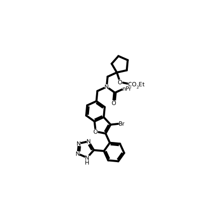 CCCC(=O)N(Cc1ccc2oc(-c3ccccc3-c3nnn[nH]3)c(Br)c2c1)CC1(OC(=O)OCC)CCCC1